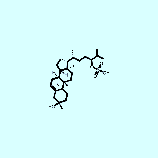 CC(C)C(CC[C@@H](C)[C@H]1CC[C@H]2[C@@H]3CC=C4C[C@@](C)(O)CC[C@]4(C)[C@H]3CC[C@]12C)OS(=O)(=O)O